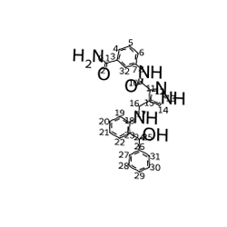 NC(=O)c1cccc(NC(=O)c2n[nH]cc2CNc2ccccc2C(O)c2ccccc2)c1